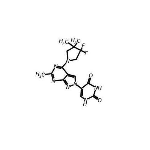 Cc1nc(N2CC(C)(C)C(F)(F)C2)c2cn(-c3c[nH]c(=O)[nH]c3=O)nc2n1